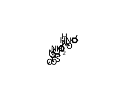 COC(=O)c1cnc(N)c2c(-c3ccc(NC(=O)Nc4cccc(C)c4)cc3)csc12